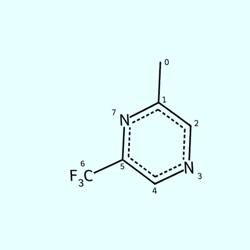 Cc1cncc(C(F)(F)F)n1